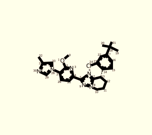 COc1nc(-c2nc3n(n2)CCC[C@H]3c2ccc(C(C)(C)C)cc2Cl)ccc1-n1cnc(C)c1